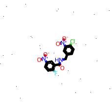 O=C(NCc1ccc(Cl)c([N+](=O)[O-])c1)c1cc([N+](=O)[O-])ccc1F